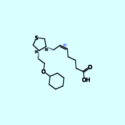 O=C(O)CCC/C=C\C[C@H]1CSC[C@H]1CCOC1CCCCC1